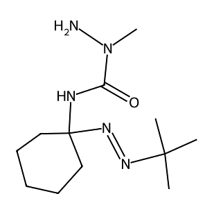 CN(N)C(=O)NC1(N=NC(C)(C)C)CCCCC1